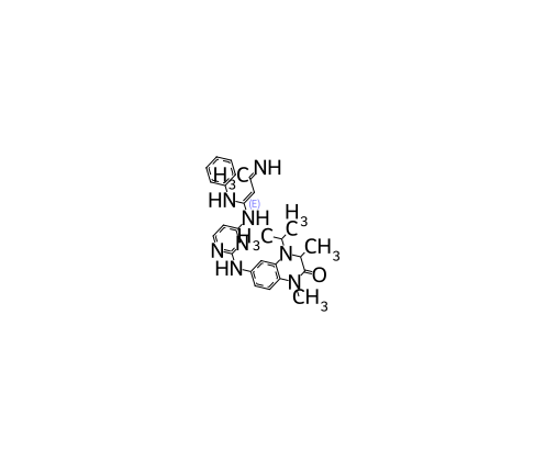 CC(=N)/C=C(\Nc1ccccc1)Nc1ccnc(Nc2ccc3c(c2)N(C(C)C)C(C)C(=O)N3C)n1